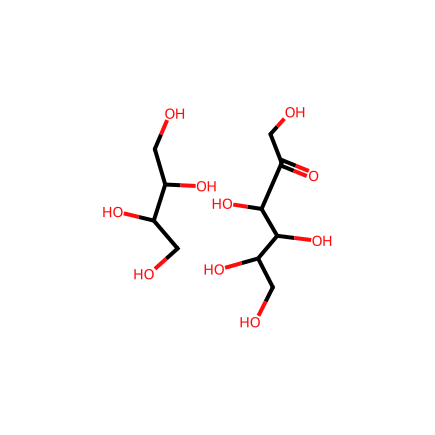 O=C(CO)C(O)C(O)C(O)CO.OCC(O)C(O)CO